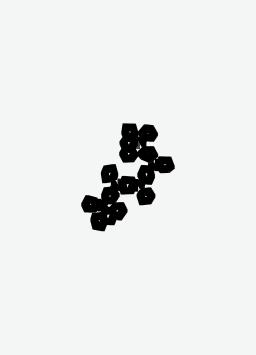 c1ccc(N(c2ccc(N(c3ccccc3)c3ccc(N(c4ccccc4)c4c5ccccc5cc5ccccc45)cc3)cc2)c2ccc(N(c3ccccc3)c3ccc(N(c4ccccc4)c4c5ccccc5cc5ccccc45)cc3)cc2)cc1